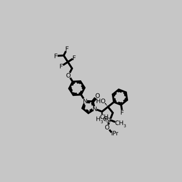 CC(C)O[Si](C)(C)C[C@](O)(c1ccccc1F)[C@@H](C)n1ccn(-c2ccc(OCC(F)(F)C(F)F)cc2)c1=O